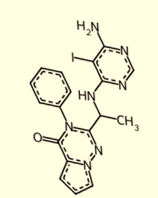 CC(Nc1ncnc(N)c1I)c1nn2cccc2c(=O)n1-c1ccccc1